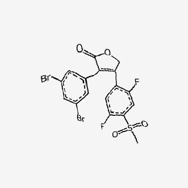 CS(=O)(=O)c1cc(F)c(C2=C(c3cc(Br)cc(Br)c3)C(=O)OC2)cc1F